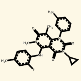 Cc1ccc(Nc2c3c(=O)n(C4CC4)c(=O)n(-c4cccc(N)c4)c3c(C)c(=O)n2C)c(F)c1